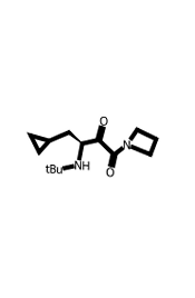 CC(C)(C)N[C@@H](CC1CC1)C(=O)C(=O)N1CCC1